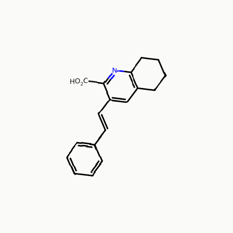 O=C(O)c1nc2c(cc1C=Cc1ccccc1)CCCC2